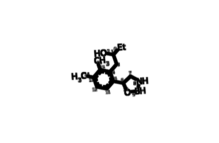 CCC(O)Cc1c(C2CNBO2)ccc(C)c1C